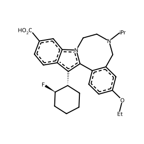 CCOc1ccc2c(c1)CN(C(C)C)CCn1c-2c([C@@H]2CCCC[C@H]2F)c2ccc(C(=O)O)cc21